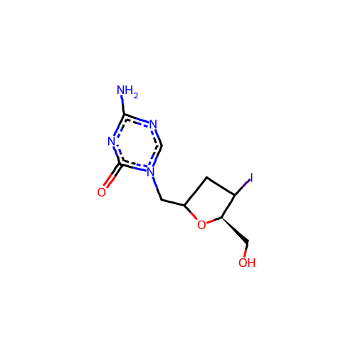 Nc1ncn(CC2CC(I)[C@@H](CO)O2)c(=O)n1